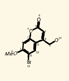 COc1cc2oc(=O)cc(C[O])c2cc1Br